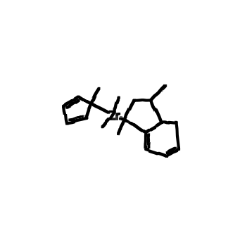 CC1C[C](C)([Zr]([CH3])([CH3])[C]2(C)C=CC=C2)C2=CC=CCC21